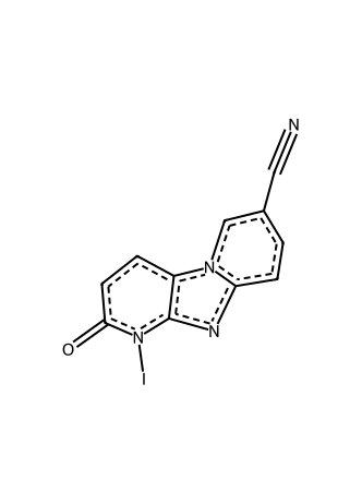 N#Cc1ccc2nc3c(ccc(=O)n3I)n2c1